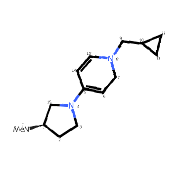 CN[C@@H]1CCN(C2=CCN(CC3CC3)C=C2)C1